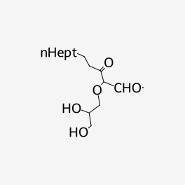 CCCCCCCCCC(=O)C([C]=O)OCC(O)CO